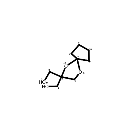 OCC1(CO)COC2(CCCC2)O1